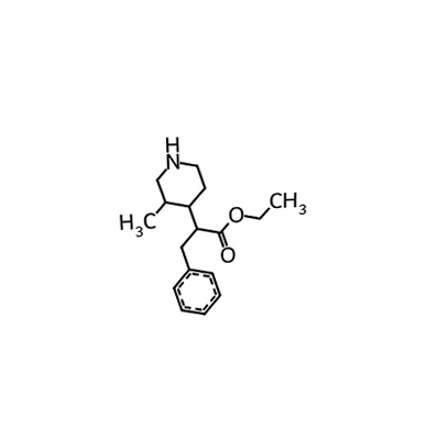 CCOC(=O)C(Cc1ccccc1)C1CCNCC1C